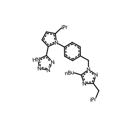 CCCCc1nc(CC(C)C)nn1Cc1ccc(-n2c(-c3nnn[nH]3)ccc2C(C)C)cc1